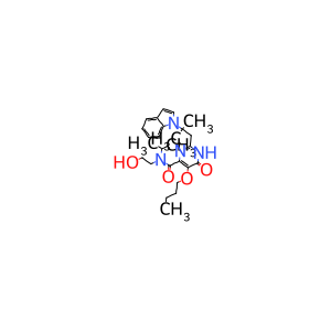 CCCCOc1c(C(=O)N(CCO)C(C)C)nc(CC(C)(C)n2ccc3ccccc32)[nH]c1=O